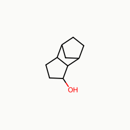 OC1CCC2C3CCC(C3)C12